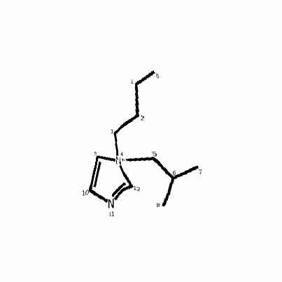 CCCC[N+]1(CC(C)C)C=CN=C1